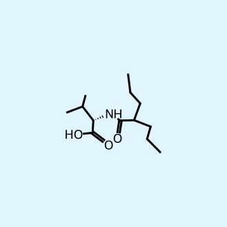 CCCC(CCC)C(=O)N[C@H](C(=O)O)C(C)C